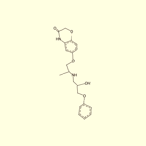 CC(COc1ccc2c(c1)NC(=O)CO2)NCC(O)COc1ccccc1